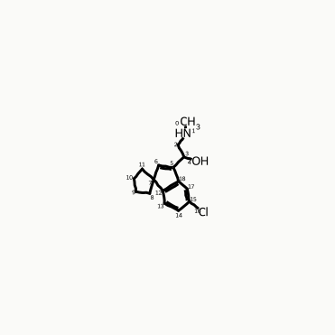 CNCC(O)C1=CC2(CCCC2)c2ccc(Cl)cc21